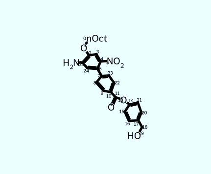 CCCCCCCCOc1cc([N+](=O)[O-])c(-c2ccc(C(=O)Oc3ccc(CO)cc3)cc2)cc1N